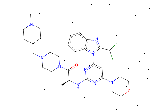 C[C@H](Nc1nc(N2CCOCC2)cc(-n2c(C(F)F)nc3ccccc32)n1)C(=O)N1CCN(CC2CCN(C)CC2)CC1